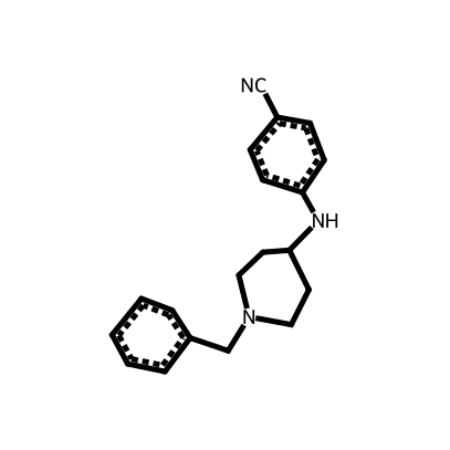 N#Cc1ccc(NC2CCN(Cc3ccccc3)CC2)cc1